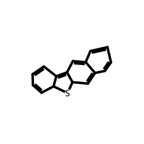 C1=CC2=C3C=c4ccccc4=CC3SC2C=C1